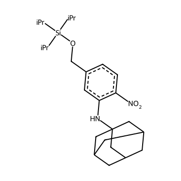 CC(C)[Si](OCc1ccc([N+](=O)[O-])c(NC23CC4CC(CC(C4)C2)C3)c1)(C(C)C)C(C)C